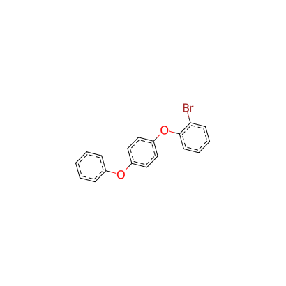 Brc1ccccc1Oc1ccc(Oc2ccccc2)cc1